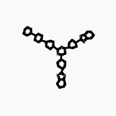 c1ccc(-c2ccc(-c3ccc(-c4nc(-c5ccc(-c6nc7ccccc7s6)cc5)cc(-c5ccc(-c6nc7ccccc7s6)cc5)n4)cc3)cc2)cc1